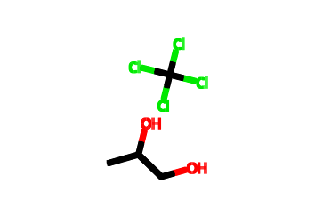 CC(O)CO.ClC(Cl)(Cl)Cl